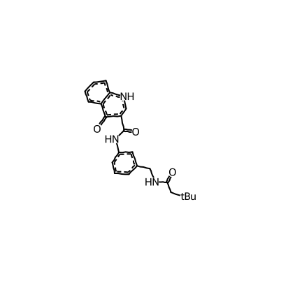 CC(C)(C)CC(=O)NCc1cccc(NC(=O)c2c[nH]c3ccccc3c2=O)c1